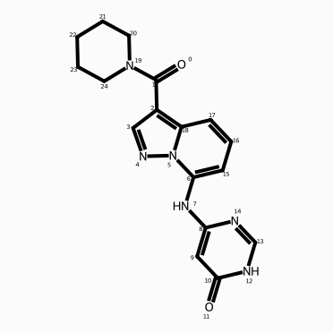 O=C(c1cnn2c(Nc3cc(=O)[nH]cn3)cccc12)N1CCCCC1